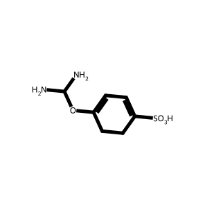 NC(N)OC1=CC=C(S(=O)(=O)O)CC1